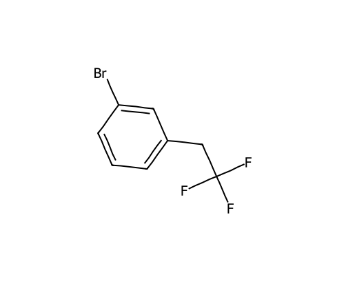 FC(F)(F)Cc1cccc(Br)c1